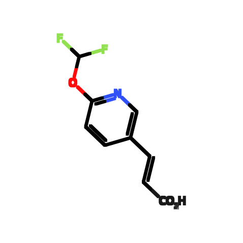 O=C(O)C=Cc1ccc(OC(F)F)nc1